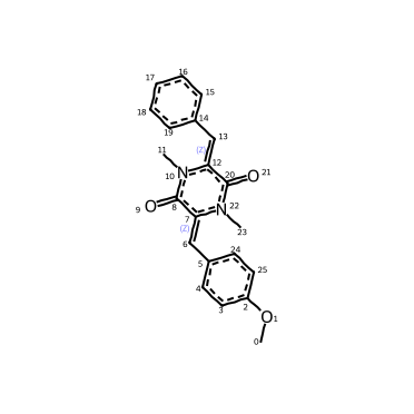 COc1ccc(/C=c2/c(=O)n(C)/c(=C\c3ccccc3)c(=O)n2C)cc1